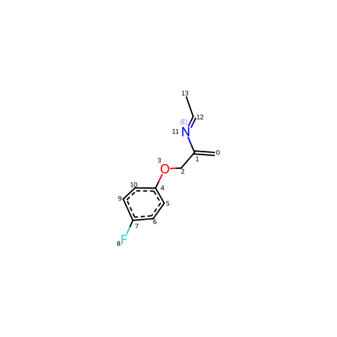 C=C(COc1ccc(F)cc1)/N=C/C